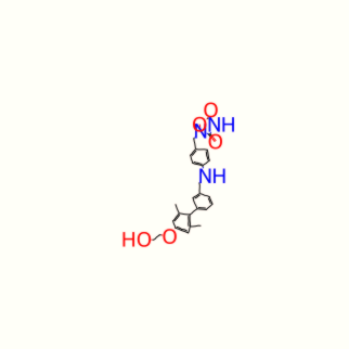 Cc1cc(OCCO)cc(C)c1-c1cccc(CNc2ccc(Cn3oc(=O)[nH]c3=O)cc2)c1